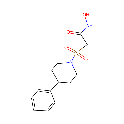 O=C(CS(=O)(=O)N1CCC(c2ccccc2)CC1)NO